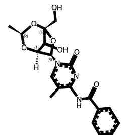 Cc1cn([C@@H]2O[C@@]3(CO)O[C@H](C)O[C@H]2C3O)c(=O)nc1NC(=O)c1ccccc1